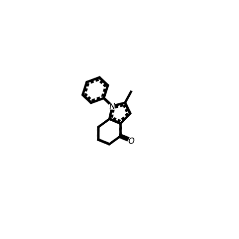 Cc1cc2c(n1-c1ccccc1)CCCC2=O